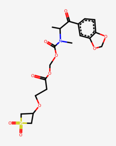 CC(C(=O)c1ccc2c(c1)OCO2)N(C)C(=O)OCOC(=O)CCOC1CS(=O)(=O)C1